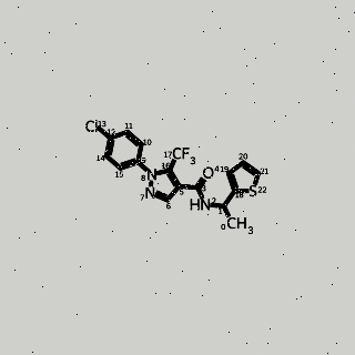 CC(NC(=O)c1cnn(-c2ccc(Cl)cc2)c1C(F)(F)F)c1cccs1